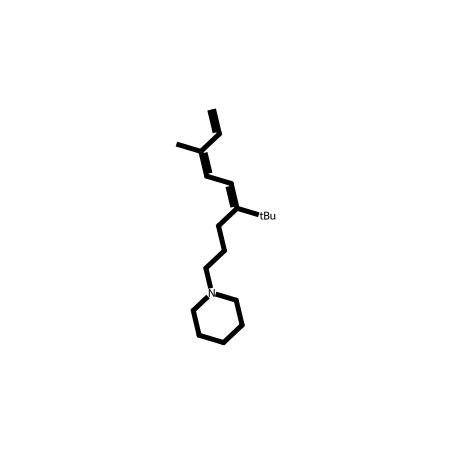 C=C/C(C)=C\C=C(/CCCN1CCCCC1)C(C)(C)C